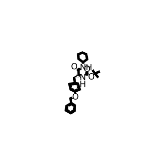 CC(C)(C)OC(=O)N[C@@H](Cc1ccc(OCc2ccccc2)cc1)C(=O)NC1CCCCC1